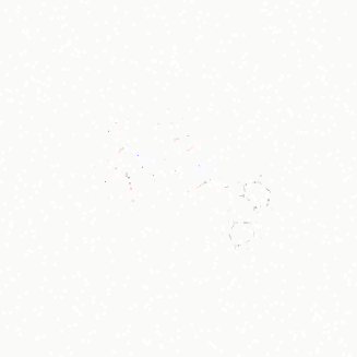 CC(C)(C)OC(=O)N[C@@H](CSC[C@H](NC(=O)OCC1c2ccccc2-c2ccccc21)C(=O)OC(C)(C)C)C(=O)OC(C)(C)C